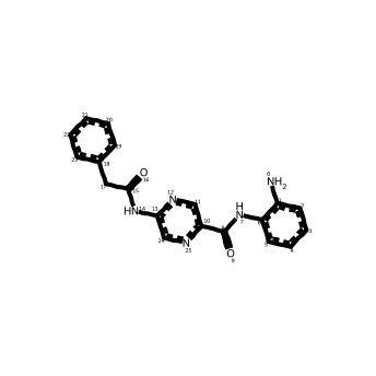 Nc1ccccc1NC(=O)c1cnc(NC(=O)Cc2ccccc2)cn1